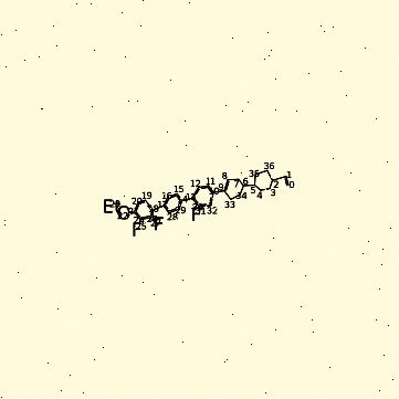 C=CC1CCC(C2CC=C(c3ccc(-c4ccc(-c5ccc(OCC)c(F)c5F)cc4)c(F)c3)CC2)CC1